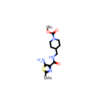 CSc1nc(C(=O)NCC2CCN(C(=O)OC(C)(C)C)CC2)c(N)s1